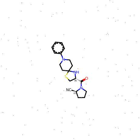 N#C[C@@H]1CCCN1C(=O)[C@@H]1CSC2(CCN(c3ccccc3)CC2)N1